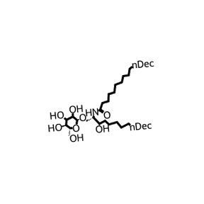 CCCCCCCCCCCCCCCCCCCC(=O)N[C@@H](CO[C@@H]1O[C@H](CO)[C@@H](O)C(O)C1O)[C@H](O)CCCCCCCCCCCCCCC